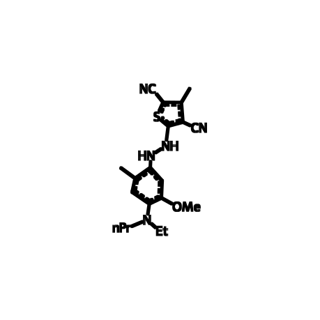 CCCN(CC)c1cc(C)c(NNc2sc(C#N)c(C)c2C#N)cc1OC